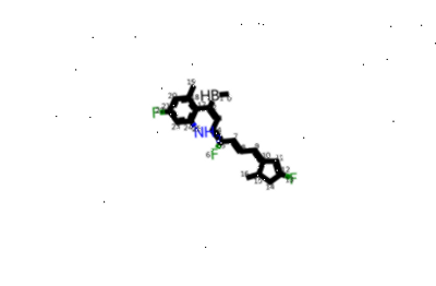 CB/C(=C/C=C(F)\C=C\C=C1\C=C(F)CC1C)c1c(C)cc(F)cc1N